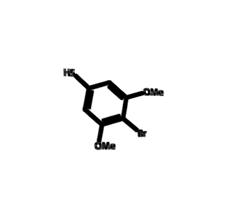 COc1cc(S)cc(OC)c1Br